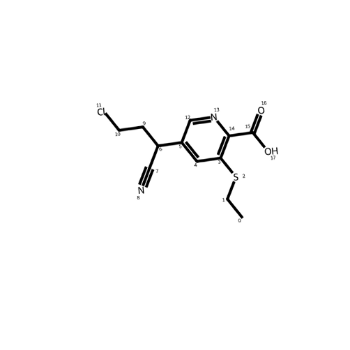 CCSc1cc(C(C#N)CCCl)cnc1C(=O)O